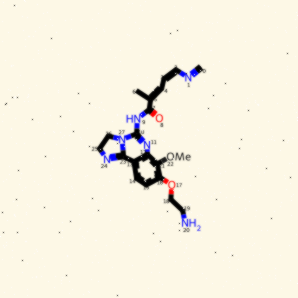 C=N/C=C\C=C(/C)C(=O)NC1=Nc2c(ccc(OCCN)c2OC)C2=NCCN12